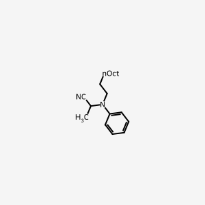 CCCCCCCCCCN(c1ccccc1)C(C)C#N